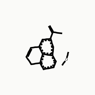 C=C(C)c1cc2c3c(cccc3c1)CC=C2.COC